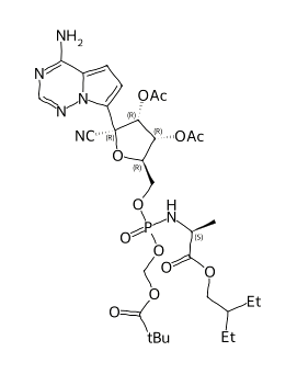 CCC(CC)COC(=O)[C@H](C)NP(=O)(OCOC(=O)C(C)(C)C)OC[C@H]1O[C@@](C#N)(c2ccc3c(N)ncnn23)[C@H](OC(C)=O)[C@@H]1OC(C)=O